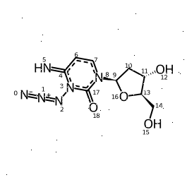 [N-]=[N+]=Nn1c(=N)ccn([C@H]2C[C@H](O)[C@@H](CO)O2)c1=O